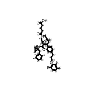 O=C(O)CCCC(=O)N1C[C@H]2CC(c3ccc(CCCOc4c(F)ccc(F)c4F)cc3)=C(C(=O)NC3(Cc4ccccc4)CC3)[C@@H](C1)N2